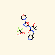 CC1(C)C(=O)N(c2nnc(N3CCOCC3)o2)C(=O)N1Cc1ccncc1.O=C(O)C(F)(F)F